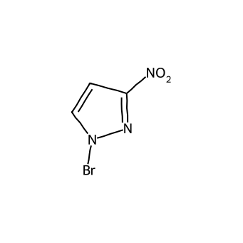 O=[N+]([O-])c1ccn(Br)n1